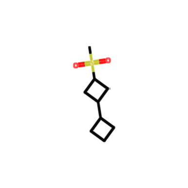 CS(=O)(=O)C1[CH]C(C2CCC2)C1